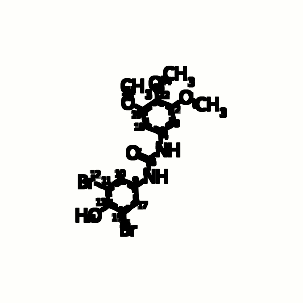 COc1cc(NC(=O)Nc2cc(Br)c(O)c(Br)c2)cc(OC)c1OC